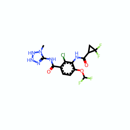 CN1NNN=C1NC(=O)c1ccc(OC(F)F)c(NC(=O)C2CC2(F)F)c1Cl